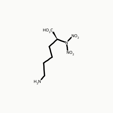 NCCCC[C@@H](C(=O)O)N([N+](=O)[O-])[N+](=O)[O-]